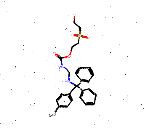 COc1ccc(C(NCNC(=O)OCCS(=O)(=O)CCO)(c2ccccc2)c2ccccc2)cc1